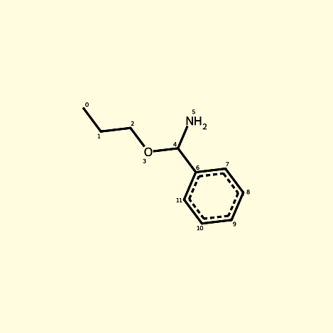 CCCOC(N)c1c[c]ccc1